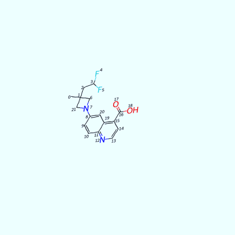 CC1(CC(F)F)CN(c2ccc3nccc(C(=O)O)c3c2)C1